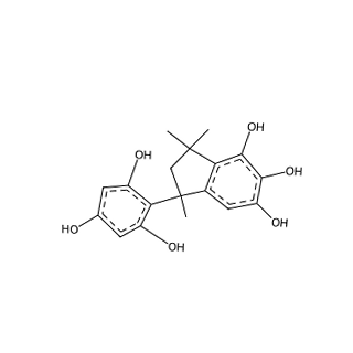 CC1(C)CC(C)(c2c(O)cc(O)cc2O)c2cc(O)c(O)c(O)c21